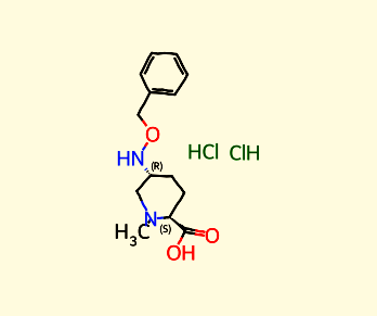 CN1C[C@H](NOCc2ccccc2)CC[C@H]1C(=O)O.Cl.Cl